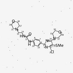 CSc1c(Cl)nc(-c2ccc(NC(=O)NCCN3CCOCC3)cc2)nc1N1CCOCC1